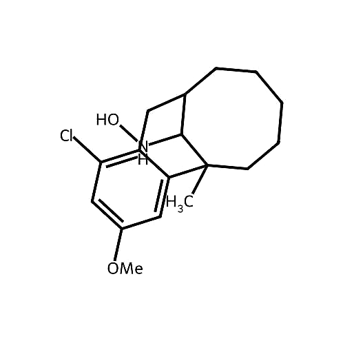 COc1cc(Cl)c2c(c1)C1(C)CCCCCC(C2)C1NO